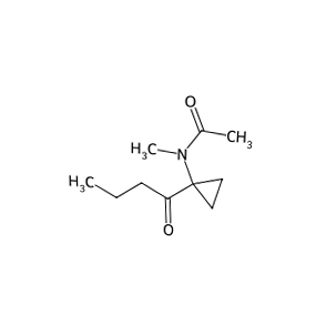 CCCC(=O)C1(N(C)C(C)=O)CC1